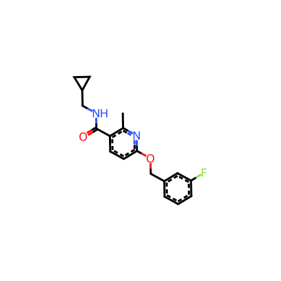 Cc1nc(OCc2cccc(F)c2)ccc1C(=O)NCC1CC1